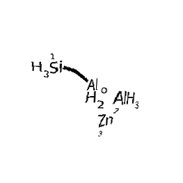 [AlH2][SiH3].[AlH3].[Zn]